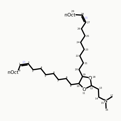 CCCCCCCC/C=C\CCCCCCCC1OC(CCN(C)C)OC1CCCCCCC/C=C\CCCCCCCC